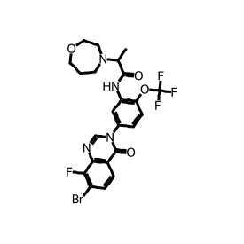 CC(C(=O)Nc1cc(-n2cnc3c(F)c(Br)ccc3c2=O)ccc1OC(F)(F)F)N1CCCOCC1